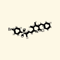 C=c1c(C)c(Cc2ccccc2)c(Cl)n/c1=C/C=C(\C)S(=O)(=O)c1ccc(Br)cc1